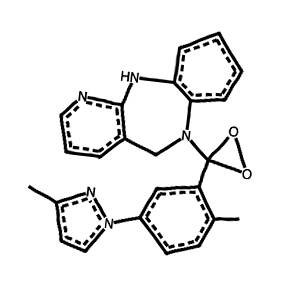 Cc1ccn(-c2ccc(C)c(C3(N4Cc5cccnc5Nc5ccccc54)OO3)c2)n1